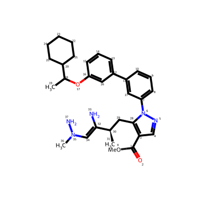 COC(=O)c1cnn(-c2cccc(-c3cccc(OC(C)C4CCCCC4)c3)c2)c1C[C@@H](C)/C(N)=C/N(C)N